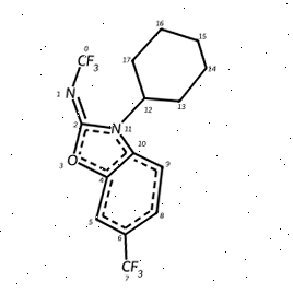 FC(F)(F)/N=c1/oc2cc(C(F)(F)F)ccc2n1C1CCCCC1